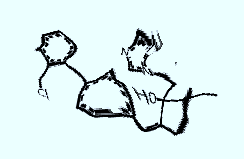 CC1(C)CC/C(=C/c2ccc(-c3ccccc3Cl)cc2)C1(O)Cn1cncn1